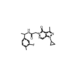 Cc1ccc(C(C)NC(=O)Cn2ncc3c(c(C)nn3C3CC3)c2=O)cc1F